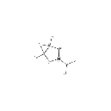 CC(C)N1CC2(C)CC2(C)C1